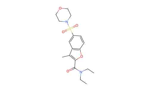 CCN(CC)C(=O)c1oc2ccc(S(=O)(=O)N3CCOCC3)cc2c1C